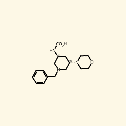 O=C(O)N[C@H]1C[C@H](N2CCOCC2)CN(Cc2ccccc2)C1